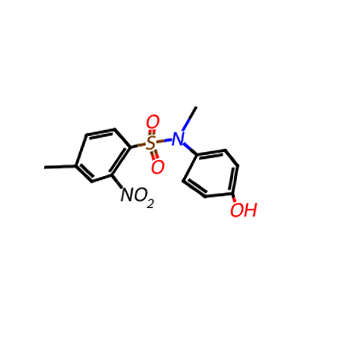 Cc1ccc(S(=O)(=O)N(C)c2ccc(O)cc2)c([N+](=O)[O-])c1